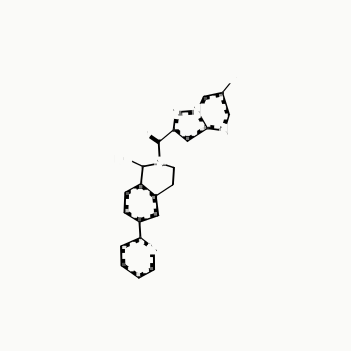 CC1c2ccc(-c3ccccn3)cc2CCN1C(=O)c1cc2ncc(Br)cn2n1